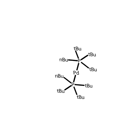 CCCC[P]([Pd][P](CCCC)(C(C)(C)C)(C(C)(C)C)C(C)(C)C)(C(C)(C)C)(C(C)(C)C)C(C)(C)C